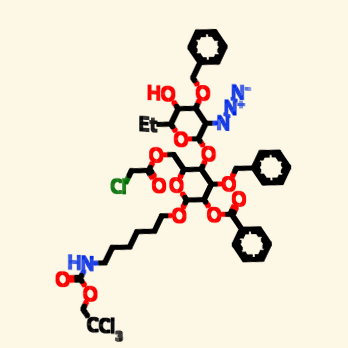 CCC1OC(OC2C(COC(=O)CCl)OC(OCCCCCCNC(=O)OCC(Cl)(Cl)Cl)C(OC(=O)c3ccccc3)C2OCc2ccccc2)C(N=[N+]=[N-])C(OCc2ccccc2)C1O